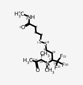 CNC(=O)CCCSSCCC(N(C)[C@@H](C)C(C)=O)C(F)(F)F